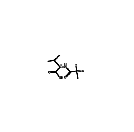 CC(C)[C@H](NC(=O)C(C)(C)C)C(=O)O